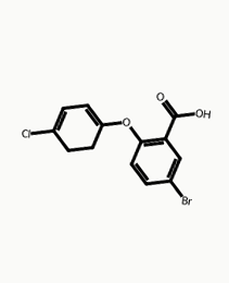 O=C(O)c1cc(Br)ccc1OC1=CC=C(Cl)CC1